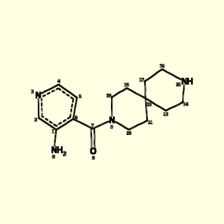 Nc1cnccc1C(=O)N1CCC2(CCNCC2)CC1